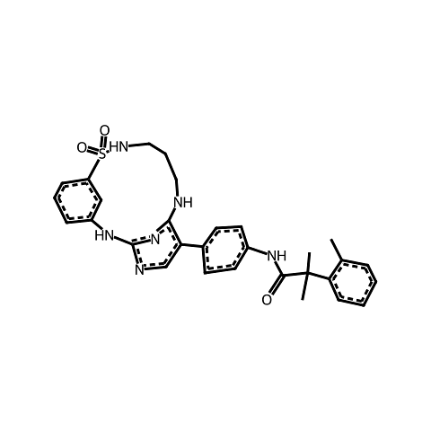 Cc1ccccc1C(C)(C)C(=O)Nc1ccc(-c2cnc3nc2NCCCNS(=O)(=O)c2cccc(c2)N3)cc1